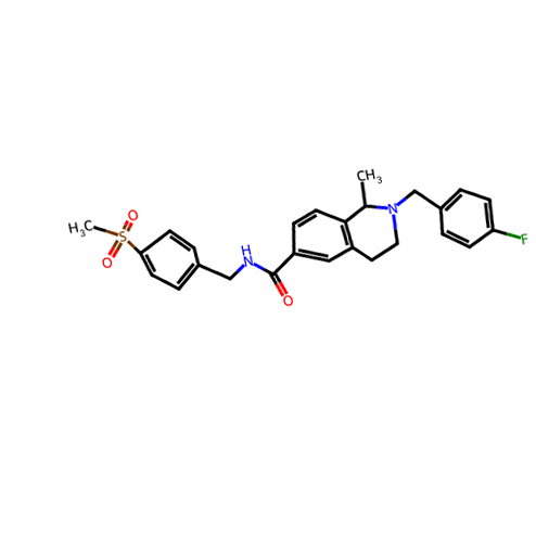 CC1c2ccc(C(=O)NCc3ccc(S(C)(=O)=O)cc3)cc2CCN1Cc1ccc(F)cc1